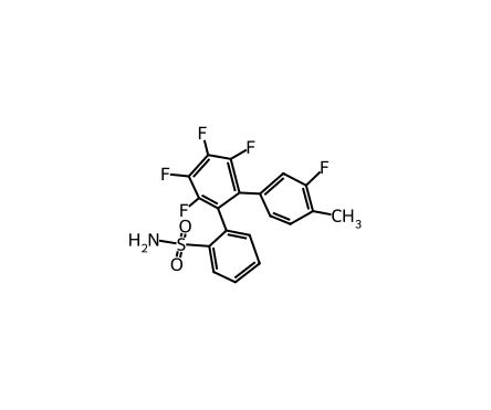 Cc1ccc(-c2c(F)c(F)c(F)c(F)c2-c2ccccc2S(N)(=O)=O)cc1F